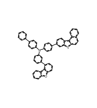 c1ccc(-c2ccc(N(c3ccc(-c4ccc5c(c4)sc4ccc6ccccc6c45)cc3)c3cccc(-c4cccc5oc6ccccc6c45)c3)cc2)cc1